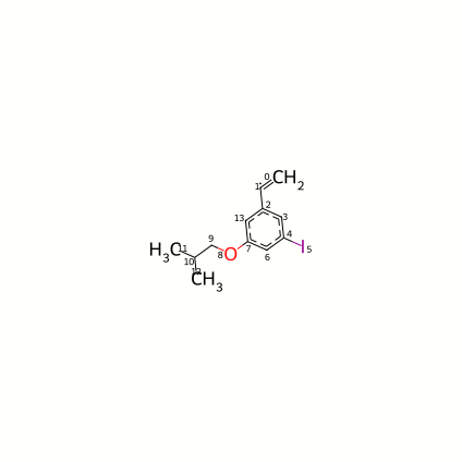 C=[C]c1cc(I)cc(OCC(C)C)c1